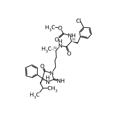 COC(=O)N[C@@H](Cc1cccc(Cl)c1)C(=O)N[C@@H](C)CCCN1C(=N)N[C@](CC(C)C)(c2ccccc2)C1=O